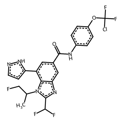 CC(CF)n1c(C(F)F)nc2cc(C(=O)Nc3ccc(OC(F)(F)Cl)cc3)cc(-c3ccn[nH]3)c21